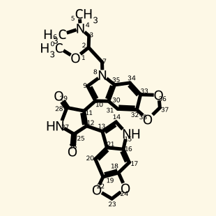 COC(CN(C)C)Cn1cc(C2=C(c3c[nH]c4cc5c(cc34)OCO5)C(=O)NC2=O)c2cc3c(cc21)OCO3